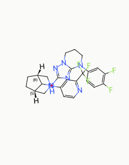 Fc1ccc(N2CCCn3nc(NC4[C@@H]5CC[C@H]4CN(c4ccnc(C(F)(F)F)c4)C5)nc32)cc1F